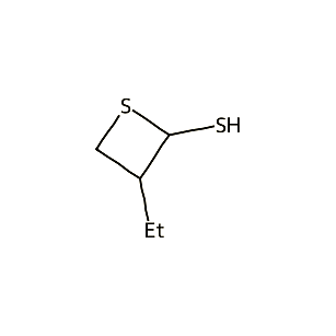 CCC1CSC1S